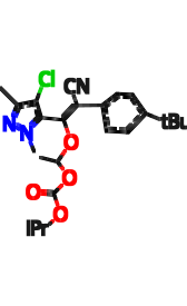 Cc1nn(C)c(/C(OC(C)OC(=O)OC(C)C)=C(\C#N)c2ccc(C(C)(C)C)cc2)c1Cl